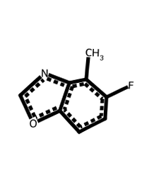 Cc1c(F)ccc2ocnc12